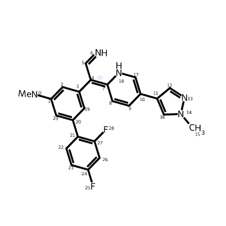 CNc1cc(/C(C=N)=C2\C=CC(c3cnn(C)c3)=CN2)cc(-c2ccc(F)cc2F)c1